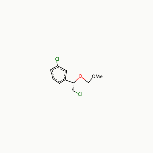 COCO[C@H](CCl)c1cccc(Cl)c1